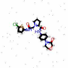 O=C(CN1CCC[C@@H]1C(=O)Nc1ccc(N2CCOCC2=O)cc1)Nc1ccc(Cl)s1